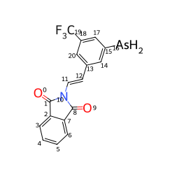 O=C1c2ccccc2C(=O)N1C=Cc1cc([AsH2])cc(C(F)(F)F)c1